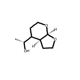 C[C@@H](O)C1CCO[C@H]2OCC[C@@H]12